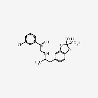 CC(Cc1ccc2c(c1)OC(C(=O)O)(C(=O)O)O2)NC[C@H](O)c1cccc(Cl)c1